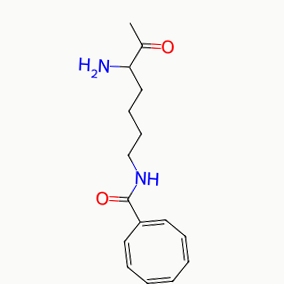 CC(=O)C(N)CCCCNC(=O)C1=C/C=C\C=C/C=C\1